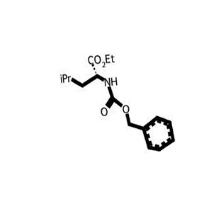 CCOC(=O)[C@@H](CC(C)C)NC(=O)OCc1ccccc1